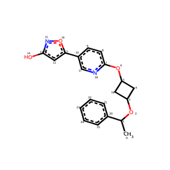 CC(OC1CC(Oc2ccc(-c3cc(O)no3)cn2)C1)c1ccccc1